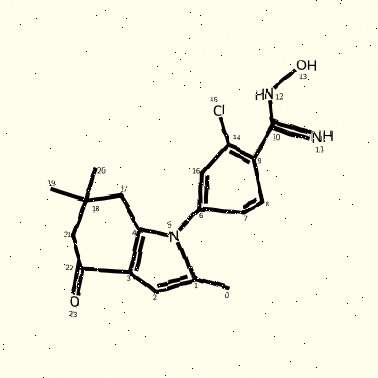 Cc1cc2c(n1-c1ccc(C(=N)NO)c(Cl)c1)CC(C)(C)CC2=O